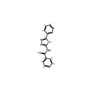 O=C(Nc1nnc(-c2ccccc2)o1)c1ccccc1